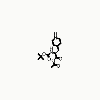 CC(=O)OC(=O)[C@H](CC1CCNCC1)NC(=O)OC(C)(C)C